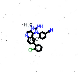 Cc1ccc(C#N)cc1-n1c(=N)n(C)c2cnc3ccc(-c4ccccc4Cl)cc3c21